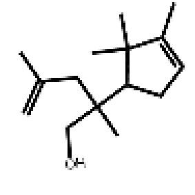 C=C(C)CC(C)(CO)C1CC=C(C)C1(C)C